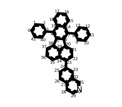 c1ccc(-c2c3c(c(-c4ccccc4)c4ccccc24)-c2ccc(-c4ccc5ccncc5c4)c4cccc-3c24)cc1